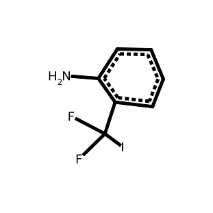 Nc1ccccc1C(F)(F)I